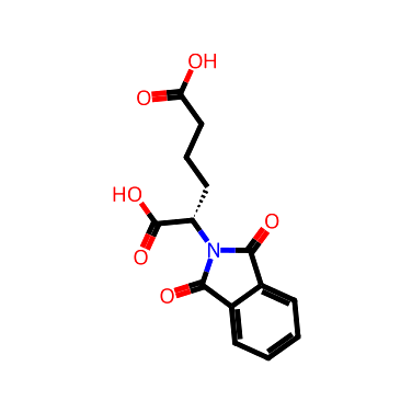 O=C(O)CCC[C@@H](C(=O)O)N1C(=O)c2ccccc2C1=O